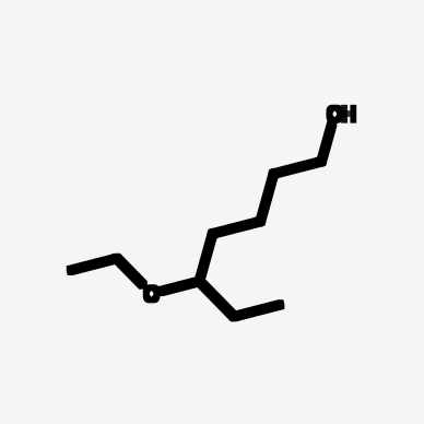 CCOC(CC)CCCCO